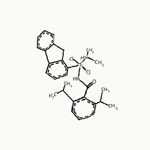 CC(C)c1cccc(C(C)C)c1C(=O)[NH][Ti]([Cl])([Cl])([c]1cccc2c1Cc1ccccc1-2)[SiH](C)C